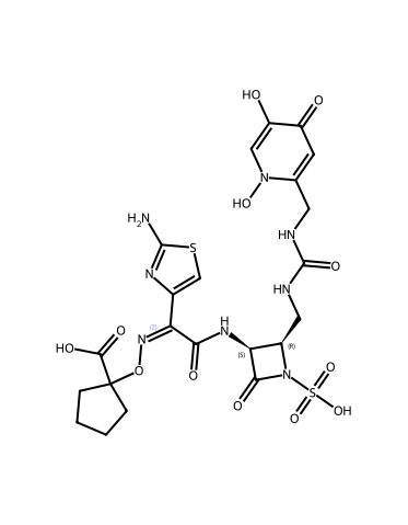 Nc1nc(/C(=N/OC2(C(=O)O)CCCC2)C(=O)N[C@@H]2C(=O)N(S(=O)(=O)O)[C@@H]2CNC(=O)NCc2cc(=O)c(O)cn2O)cs1